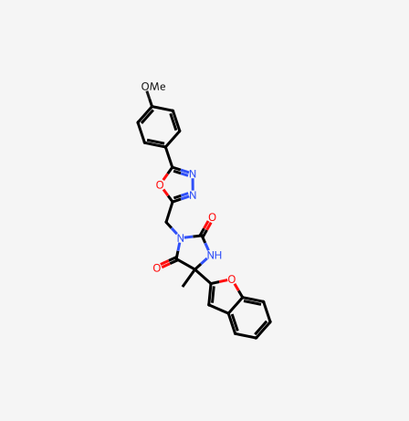 COc1ccc(-c2nnc(CN3C(=O)NC(C)(c4cc5ccccc5o4)C3=O)o2)cc1